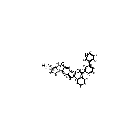 Cc1cn2nc([C@@H]3CCCCN3C(=O)c3cccc(-c4cccnc4)c3)cc2nc1N1CC[C@H](N)C1